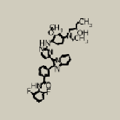 CC[C@@H](O)CN(CC)c1ccc(Nc2nccc(-c3c(-c4cccc(C(=O)Nc5c(F)cccc5F)c4)nc4ccccn34)n2)c(OC)c1